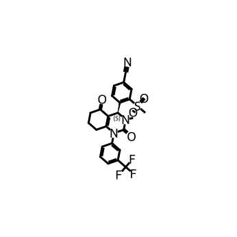 CN1C(=O)N(c2cccc(C(F)(F)F)c2)C2=C(C(=O)CCC2)[C@H]1c1ccc(C#N)cc1S(C)(=O)=O